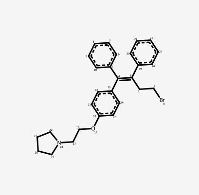 BrCCC(=C(c1ccccc1)c1ccc(OCCN2CCCC2)cc1)c1ccccc1